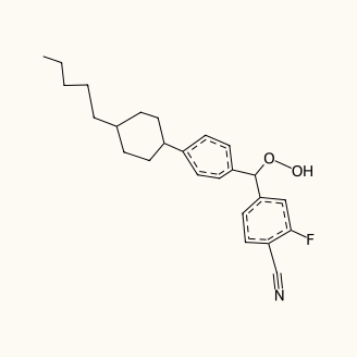 CCCCCC1CCC(c2ccc(C(OO)c3ccc(C#N)c(F)c3)cc2)CC1